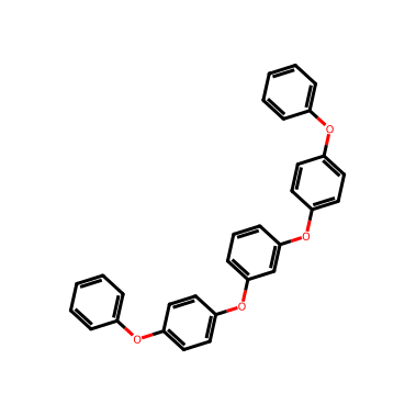 c1ccc(Oc2ccc(Oc3cccc(Oc4ccc(Oc5ccccc5)cc4)c3)cc2)cc1